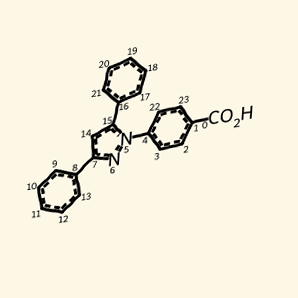 O=C(O)c1ccc(-n2nc(-c3ccccc3)cc2-c2ccccc2)cc1